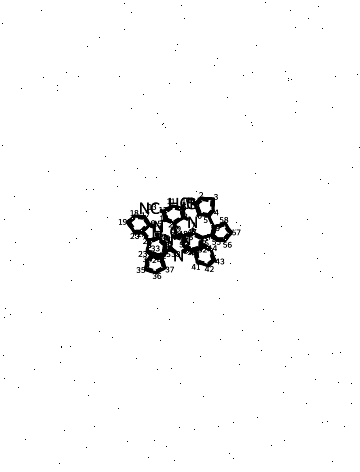 Cc1cccc2c1N(c1c(C#N)cc(C#N)c(-n3c4ccccc4c4ccccc43)c1-c1nc(-c3ccccc3)nc(-c3ccccc3)n1)c1c(C)cccc1-c1ccccc1-2